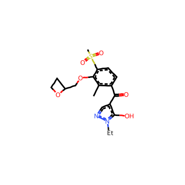 CCn1ncc(C(=O)c2ccc(S(C)(=O)=O)c(OCC3CCO3)c2C)c1O